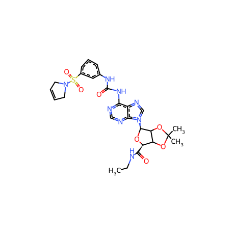 CCNC(=O)[C@H]1O[C@@H](n2cnc3c(NC(=O)Nc4cccc(S(=O)(=O)N5CC=CC5)c4)ncnc32)C2OC(C)(C)OC21